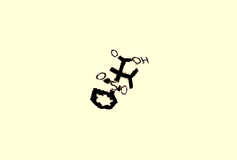 CC(C)C(C)(C(=O)O)S(=O)(=O)c1ccccc1